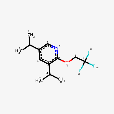 CC(C)c1cnc(OCC(F)(F)F)c(C(C)C)c1